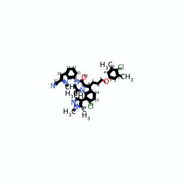 Cc1cc(OCCCc2c3n(c4c(-c5c(C)nn(C)c5C)c(Cl)ccc24)[C@H](C)CN(c2cccc4cc(C#N)n(C)c24)C3=O)cc(C)c1Cl